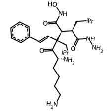 CC(C)C[C@@H](C(=O)NN)[C@H](C(=O)NO)C(/C=C/c1ccccc1)(CC(C)C)C(=O)[C@H](N)CCCCN